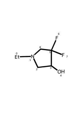 CCN1CC(O)C(F)(F)C1